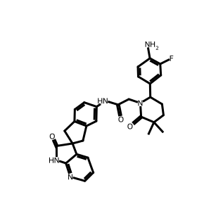 CC1(C)CCC(c2ccc(N)c(F)c2)N(CC(=O)Nc2ccc3c(c2)CC2(C3)C(=O)Nc3ncccc32)C1=O